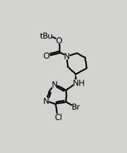 CC(C)(C)OC(=O)N1CCC[C@@H](Nc2ncnc(Cl)c2Br)C1